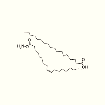 CCCCCCCC/C=C\CCCCCCCC(=O)ON.CCCCCCCCCCCCCCCCCC(=O)O